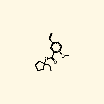 C=Cc1ccc(OC)c(C(=O)OC2(CC)CCCC2)c1